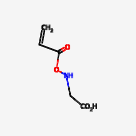 C=CC(=O)ONCC(=O)O